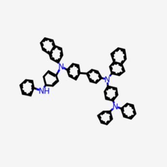 C1=CC(Nc2ccccc2)CC=C1N(c1ccc(-c2ccc(N(c3ccc(N(c4ccccc4)c4ccccc4)cc3)c3ccc4ccccc4c3)cc2)cc1)c1ccc2ccccc2c1